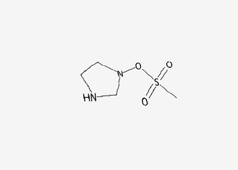 CS(=O)(=O)ON1CCNC1